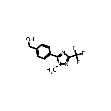 Cn1nc(C(F)(F)F)nc1-c1ccc(CO)cc1